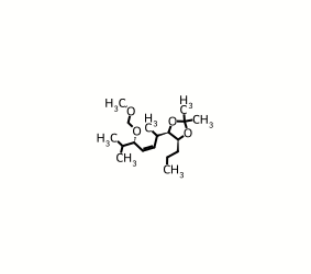 CCC[C@@H]1OC(C)(C)O[C@@H]1C(C)/C=C\[C@@H](OCOC)C(C)C